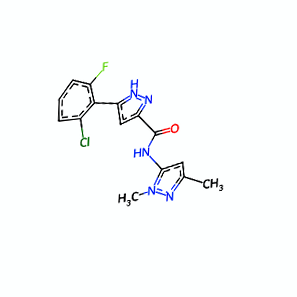 Cc1cc(NC(=O)c2cc(-c3c(F)cccc3Cl)[nH]n2)n(C)n1